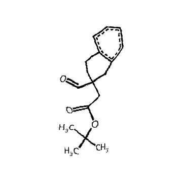 CC(C)(C)OC(=O)CC1(C=O)Cc2ccccc2C1